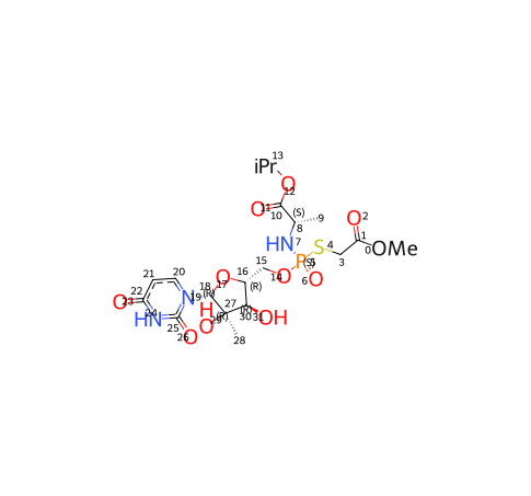 COC(=O)CS[P@](=O)(N[C@@H](C)C(=O)OC(C)C)OC[C@H]1O[C@@H](n2ccc(=O)[nH]c2=O)[C@](C)(O)[C@@H]1O